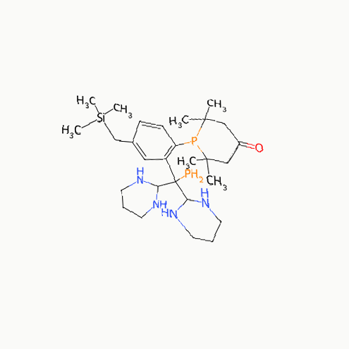 CC1(C)CC(=O)CC(C)(C)P1c1ccc(C[Si](C)(C)C)cc1C(P)(C1NCCCN1)C1NCCCN1